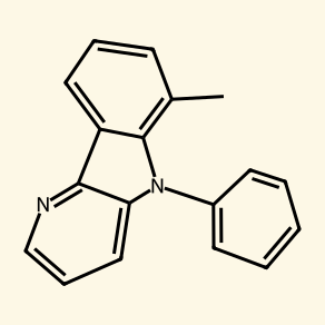 Cc1cccc2c3ncccc3n(-c3ccccc3)c12